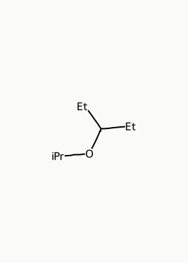 CC[C](CC)OC(C)C